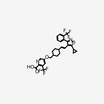 O=C(O)c1ncc(OCC2CCC(/C=C/c3c(-c4ccccc4C(F)(F)F)noc3C3CC3)CC2)cc1C(F)(F)F